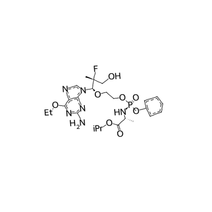 CCOc1nc(N)nc2c1ncn2[C@H](OCCO[P@@](=O)(N[C@H](C)C(=O)OC(C)C)Oc1ccccc1)[C@](C)(F)CO